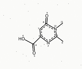 Cc1nc(C(=O)O)cc(=O)n1C